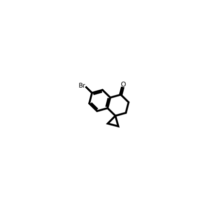 O=C1CCC2(CC2)c2ccc(Br)cc21